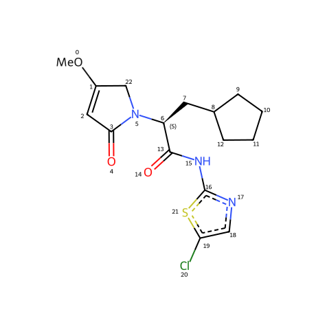 COC1=CC(=O)N([C@@H](CC2CCCC2)C(=O)Nc2ncc(Cl)s2)C1